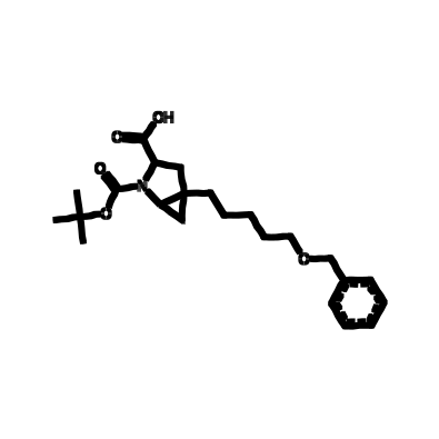 CC(C)(C)OC(=O)N1C(C(=O)O)CC2(CCCCCOCc3ccccc3)CC12